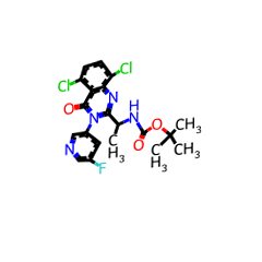 CC(NC(=O)OC(C)(C)C)c1nc2c(Cl)ccc(Cl)c2c(=O)n1-c1cncc(F)c1